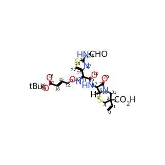 C=CC1(C(=O)O)CS[C@@H]2C(NC(=O)C(=NOCC=CC(=O)OC(C)(C)C)c3csc(NC=O)n3)C(=O)N2C1